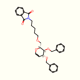 O=C1c2ccccc2C(=O)N1CCCCCOC[C@H]1OC=C[C@@H](OCc2ccccc2)[C@@H]1OCc1ccccc1